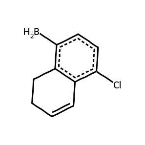 Bc1ccc(Cl)c2c1CCC=C2